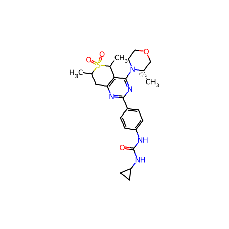 CC1Cc2nc(-c3ccc(NC(=O)NC4CC4)cc3)nc(N3CCOC[C@@H]3C)c2C(C)S1(=O)=O